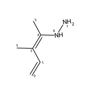 C=C/C(C)=C(/C)NN